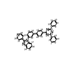 c1ccc(-c2nc(-c3ccccc3)nc(-c3ccc(-c4cccc(-n5c(-c6ccncc6)nc6ccccc65)c4)cc3)n2)cc1